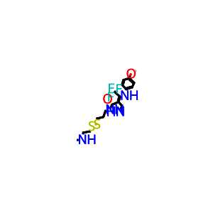 CNCCSSCCCNC(=O)/C(C=N)=C(/Nc1ccc(OC)cc1)C(F)(F)F